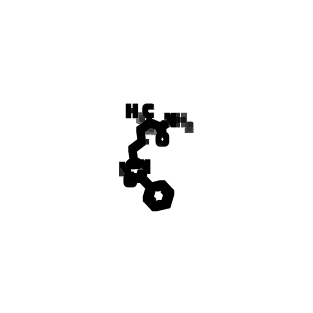 C[C@@H](C[CH]Cc1noc(-c2ccccc2)n1)C(N)=O